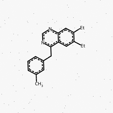 CCc1cc2ncnc(Cc3cccc(C)c3)c2cc1CC